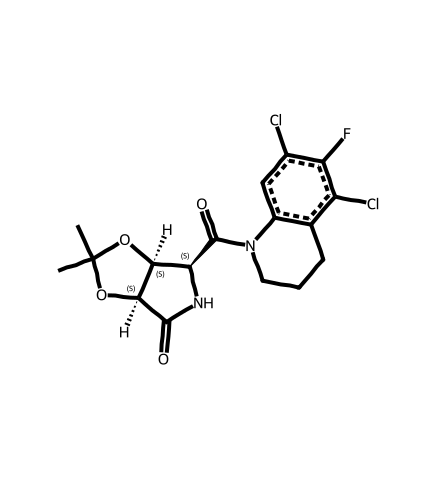 CC1(C)O[C@H]2[C@@H](C(=O)N3CCCc4c3cc(Cl)c(F)c4Cl)NC(=O)[C@H]2O1